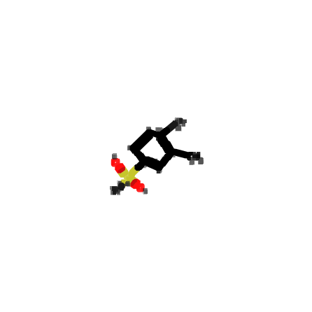 Cc1cc(S(=O)(=O)C(C)C)ccc1C(C)C